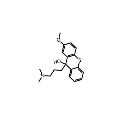 COc1ccc2c(c1)C(O)(CCCN(C)C)c1ccccc1S2